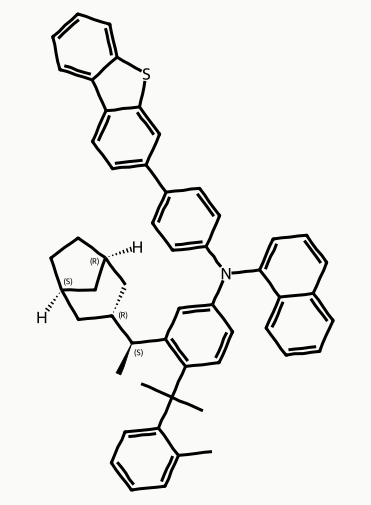 Cc1ccccc1C(C)(C)c1ccc(N(c2ccc(-c3ccc4c(c3)sc3ccccc34)cc2)c2cccc3ccccc23)cc1[C@@H](C)[C@H]1C[C@@H]2CC[C@@H](C2)C1